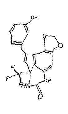 O=C1Nc2cc3c(cc2[C@@](/C=C/c2cccc(O)c2)(C(F)(F)F)N1)OCO3